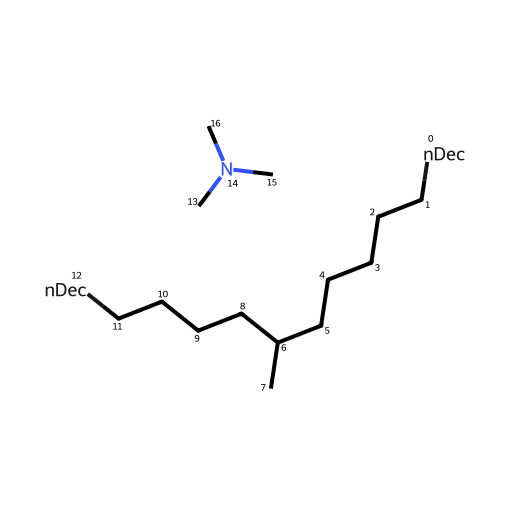 CCCCCCCCCCCCCCCC(C)CCCCCCCCCCCCCC.CN(C)C